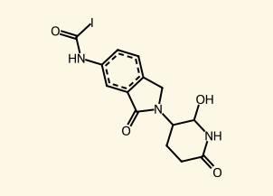 O=C(I)Nc1ccc2c(c1)C(=O)N(C1CCC(=O)NC1O)C2